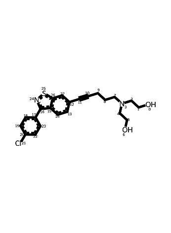 OCCN(CCO)CCCC#Cc1ccc2c(-c3ccc(Cl)cc3)nsc2c1